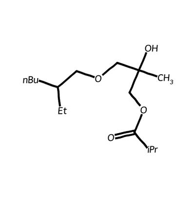 CCCCC(CC)COCC(C)(O)COC(=O)C(C)C